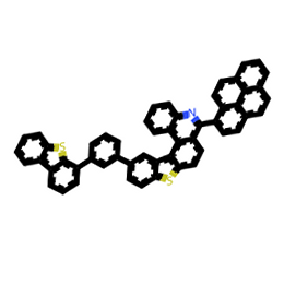 c1cc(-c2ccc3sc4ccc5c(-c6ccc7ccc8cccc9ccc6c7c89)nc6ccccc6c5c4c3c2)cc(-c2cccc3c2sc2ccccc23)c1